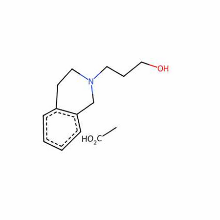 CC(=O)O.OCCCN1CCc2ccccc2C1